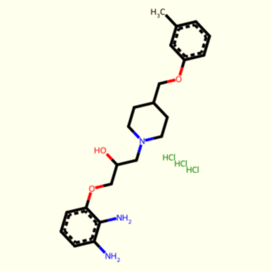 Cc1cccc(OCC2CCN(CC(O)COc3cccc(N)c3N)CC2)c1.Cl.Cl.Cl